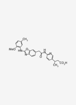 COc1ccc(C)cc1Nc1nc2ccc(CC(=O)Nc3ccc(C(C)CC(=O)O)cn3)cc2o1